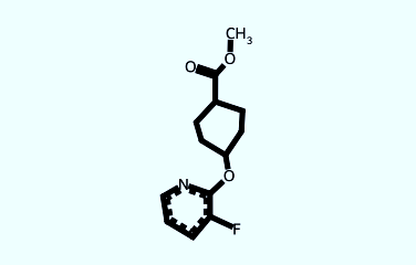 COC(=O)C1CCC(Oc2ncccc2F)CC1